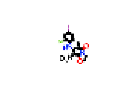 Cc1c(Nc2ccc(I)cc2F)c([N+](=O)[O-])c2n(c1=O)CCO2